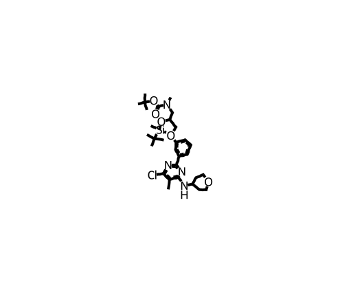 Cc1c(Cl)nc(-c2cccc(OCC(CN(C)C(=O)OC(C)(C)C)O[Si](C)(C)C(C)(C)C)c2)nc1NC1CCOCC1